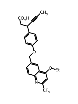 CC#CC(CC(=O)O)c1ccc(OCc2ccc3nc(C(F)(F)F)cc(OCC)c3c2)cc1